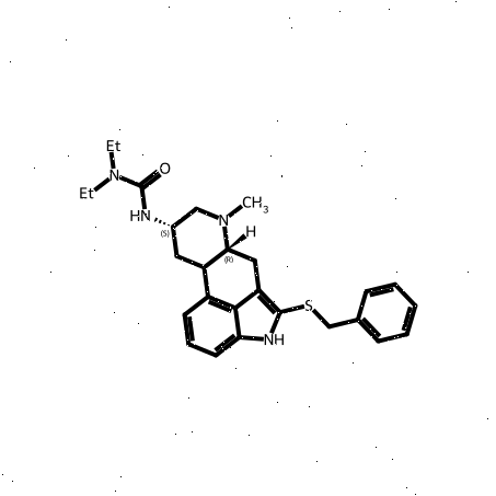 CCN(CC)C(=O)N[C@H]1CC2c3cccc4[nH]c(SCc5ccccc5)c(c34)C[C@H]2N(C)C1